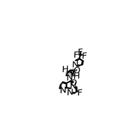 O=C(c1cccnc1-c1ncc(F)cn1)N1C[C@H]2C[C@@H](Oc3ccc(C(F)(F)F)cn3)[C@@H]1C2